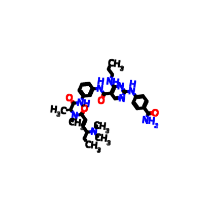 CCCNc1nc(Nc2ccc(C(N)=O)cc2)ncc1C(=O)Nc1cccc(NC(=O)[C@H](C)N(C)C(=O)/C=C/C(CC)N(C)C)c1